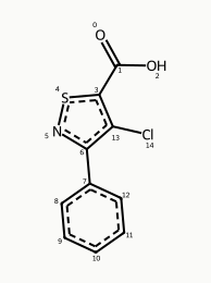 O=C(O)c1snc(-c2ccccc2)c1Cl